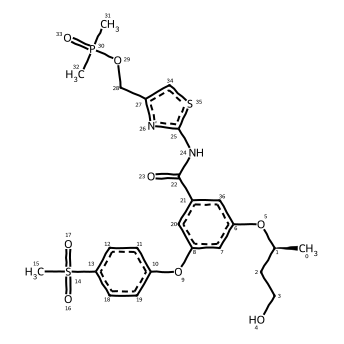 C[C@@H](CCO)Oc1cc(Oc2ccc(S(C)(=O)=O)cc2)cc(C(=O)Nc2nc(COP(C)(C)=O)cs2)c1